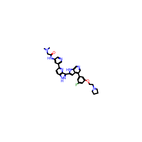 CN(C)CC(=O)Nc1cncc(-c2ccc3[nH]nc(-c4cc5c(-c6cc(F)cc(OCCN7CCCC7)c6)cncc5[nH]4)c3n2)c1